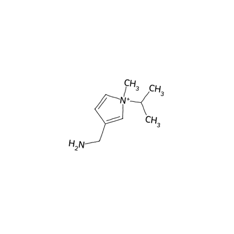 CC(C)[N+]1(C)C=CC(CN)=C1